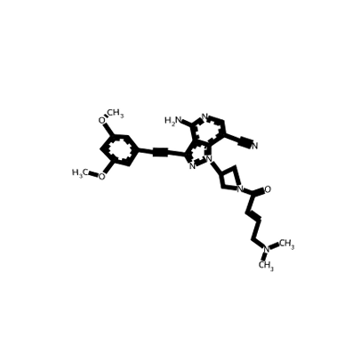 COc1cc(C#Cc2nn(C3CN(C(=O)/C=C/CN(C)C)C3)c3c(C#N)cnc(N)c23)cc(OC)c1